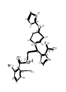 O=C(NCC(c1scnc1C(F)F)N1CCC(Oc2nccs2)CC1)c1c(F)cccc1Cl